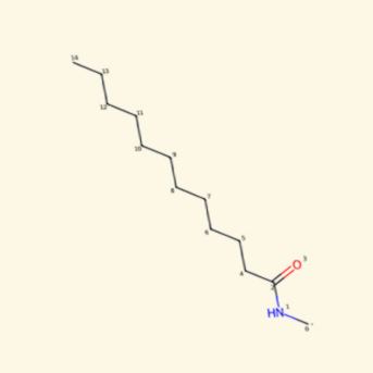 [CH2]NC(=O)CCCCCCCCCCC